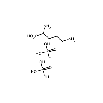 NCCCC(N)C(=O)O.O=P(O)(O)F.O=P(O)(O)O